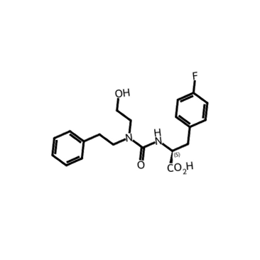 O=C(O)[C@H](Cc1ccc(F)cc1)NC(=O)N(CCO)CCc1ccccc1